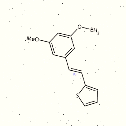 BOc1cc(/C=C/c2cccs2)cc(OC)c1